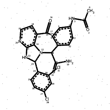 CC(=O)Nc1ccc(C(C(N)=O)N2c3c(C(=O)O)ccnc3NC2c2ccc(Cl)cc2Cl)cc1